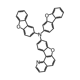 c1cnc2c(c1)ccc1oc3cc(N(c4ccc5c(c4)oc4ccccc45)c4ccc5oc6ccccc6c5c4)ccc3c12